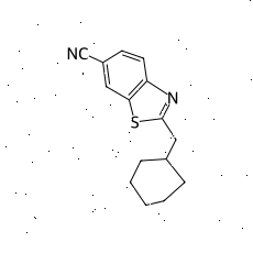 N#Cc1ccc2nc(CC3CCCCC3)sc2c1